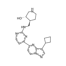 O[C@@H]1CNCC[C@H]1CNc1nccc(-c2ccn3ncc(C4CCC4)c3n2)n1